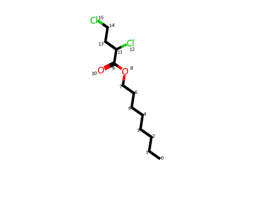 CCCCCCCCOC(=O)C(Cl)CCCl